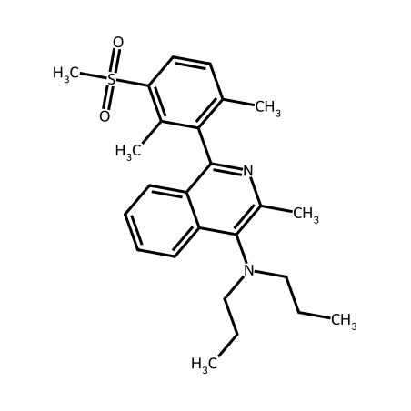 CCCN(CCC)c1c(C)nc(-c2c(C)ccc(S(C)(=O)=O)c2C)c2ccccc12